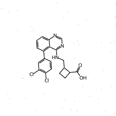 O=C(O)C1CCC1CNc1ncnc2cccc(-c3ccc(Cl)c(Cl)c3)c12